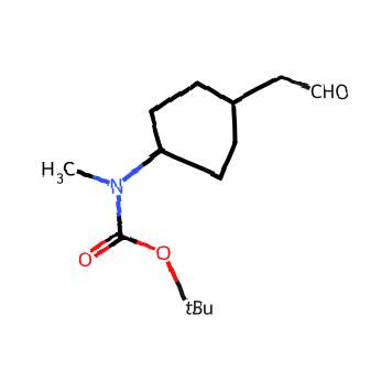 CN(C(=O)OC(C)(C)C)C1CCC(CC=O)CC1